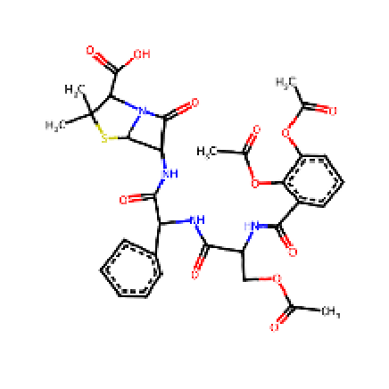 CC(=O)OCC(NC(=O)c1cccc(OC(C)=O)c1OC(C)=O)C(=O)NC(C(=O)NC1C(=O)N2C1SC(C)(C)C2C(=O)O)c1ccccc1